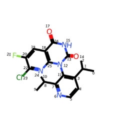 CC(C)c1ccnc(C(C)C)c1-n1c(=O)[nH]c(=O)c2cc(F)c(Cl)nc21